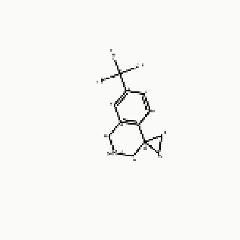 FC(F)(F)c1ccc2c(c1)CNCC21CC1